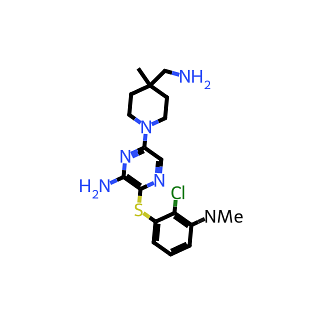 CNc1cccc(Sc2ncc(N3CCC(C)(CN)CC3)nc2N)c1Cl